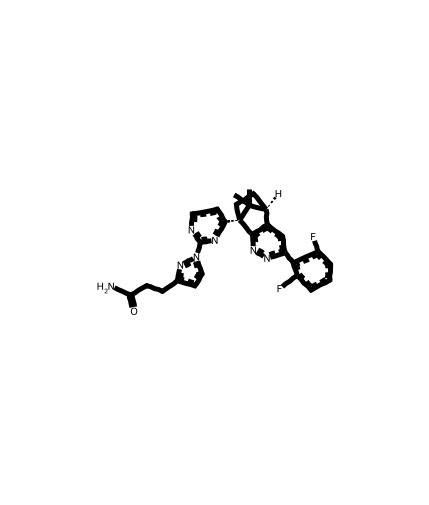 CC1(C)[C@H]2CC[C@]1(c1ccnc(-n3ccc(CCC(N)=O)n3)n1)c1nnc(-c3c(F)cccc3F)cc12